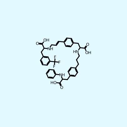 O=C(O)C(Cc1cccc(C(F)(F)F)c1)NC/C=C/c1ccc(CC(NCCCc2ccc(CC(Nc3ccccc3)C(=O)O)cc2)C(=O)O)cc1